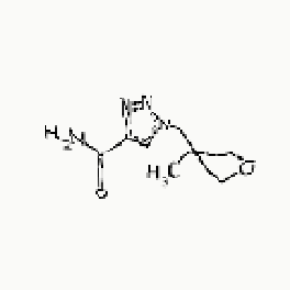 CC1(Cn2cc(C(N)=O)nn2)COC1